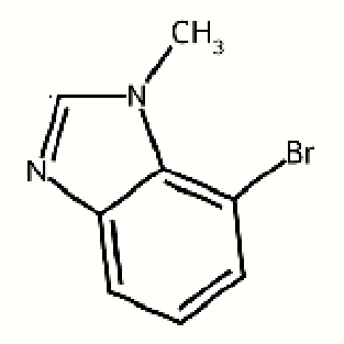 Cn1[c]nc2cccc(Br)c21